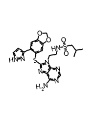 CC(C)CS(=O)(=O)NCCn1c(Sc2cc3c(cc2-c2cc[nH]n2)OCO3)nc2c(N)ncnc21